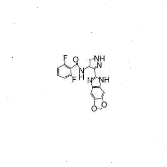 O=C(Nc1c[nH]nc1-c1nc2cc3c(cc2[nH]1)OCO3)c1c(F)cccc1F